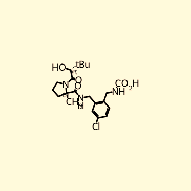 CC(C)(C)[C@@H](O)C(=O)N1CCC[C@@]1(C)C(=O)NCc1cc(Cl)ccc1CNC(=O)O